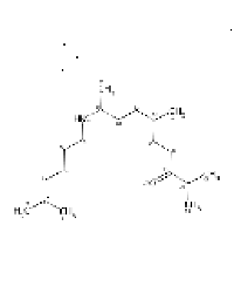 CC(C)CCCCNC(C)CCC(C)CCC(=O)C(C)C